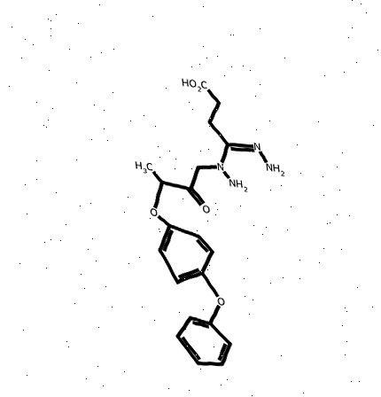 CC(Oc1ccc(Oc2ccccc2)cc1)C(=O)CN(N)/C(CCC(=O)O)=N\N